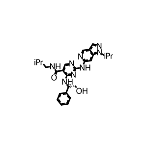 CC(C)CNC(=O)c1cnc(Nc2cc3c(cn2)cnn3C(C)C)nc1N[C@H](CO)c1ccccc1